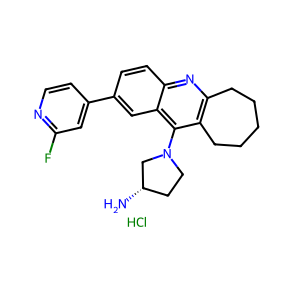 Cl.N[C@H]1CCN(c2c3c(nc4ccc(-c5ccnc(F)c5)cc24)CCCCC3)C1